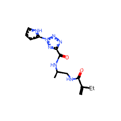 C=C(CC)C(=O)NCC(C)NC(=O)c1nnn(-c2ccc[nH]2)n1